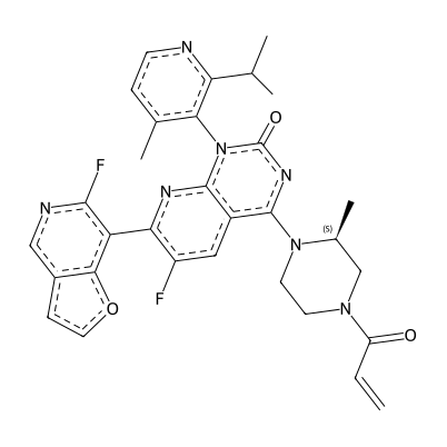 C=CC(=O)N1CCN(c2nc(=O)n(-c3c(C)ccnc3C(C)C)c3nc(-c4c(F)ncc5ccoc45)c(F)cc23)[C@@H](C)C1